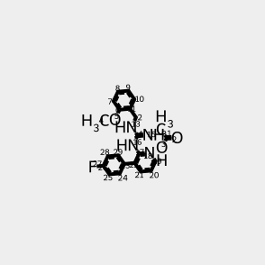 CC(=O)O.COc1ccccc1CNC(=N)Nc1ncccc1-c1ccc(F)cc1